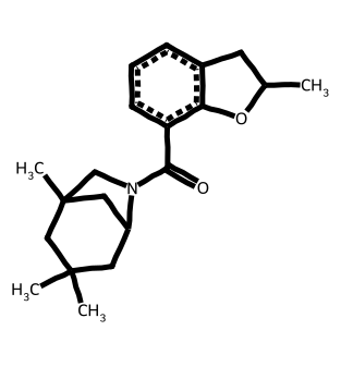 CC1Cc2cccc(C(=O)N3CC4(C)CC3CC(C)(C)C4)c2O1